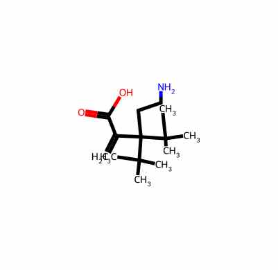 C=C(C(=O)O)C(CCN)(C(C)(C)C)C(C)(C)C